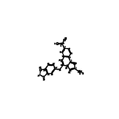 Nc1nc2c3ccc([N+](=O)[O-])cc3nc(Cc3ccc4c(c3)OCO4)n2n1